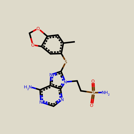 Cc1cc2c(cc1Sc1nc3c(N)ncnc3n1CCS(N)(=O)=O)OCO2